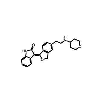 O=C1Nc2ccccc2C1=C1OCc2cc(CCNC3CCOCC3)ccc21